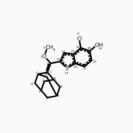 COC(=C1C2CC3CC(C2)CC1C3)c1cc2c(Cl)c(O)ccc2s1